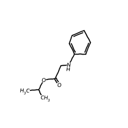 CC(C)OC(=O)CNc1ccccc1